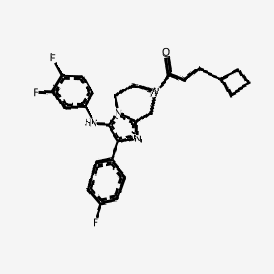 O=C(CCC1CCC1)N1CCn2c(nc(-c3ccc(F)cc3)c2Nc2ccc(F)c(F)c2)C1